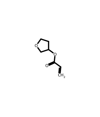 C=CC(=O)OC1CCOC1